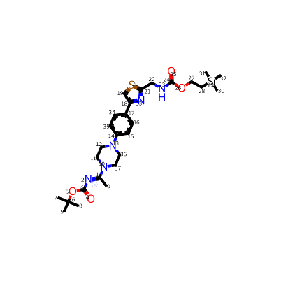 C/C(=N\C(=O)OC(C)(C)C)N1CCN(c2ccc(-c3csc(CNC(=O)OCC[Si](C)(C)C)n3)cc2)CC1